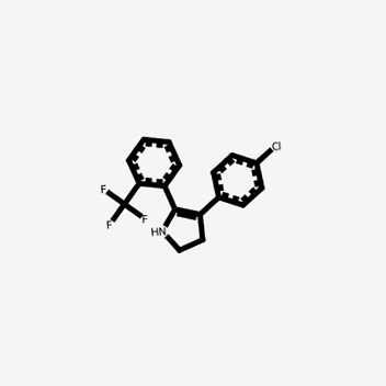 FC(F)(F)c1ccccc1C1=C(c2ccc(Cl)cc2)CCN1